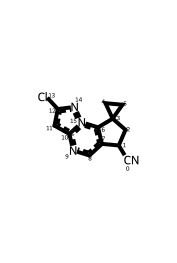 N#CC1CC2(CC2)c2c1cnc1cc(Cl)nn21